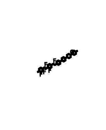 Cc1ccc(CCc2c(F)cc(CCc3ccc(-c4ccc(C5CCC(C6CCC(C)CO6)CC5)cc4)cc3F)cc2F)c(F)c1F